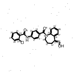 O=C(Nc1ccc(C(=O)N2CCC/C(=N\O)c3ccccc32)cc1)c1ccccc1Cl